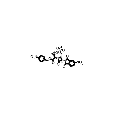 CC(O)=C(C(=O)OCc1ccc([N+](=O)[O-])cc1)N1C(=O)[C@@H](N2C(=O)c3ccc([N+](=O)[O-])cc3C2=O)[C@H]1COS(C)(=O)=O